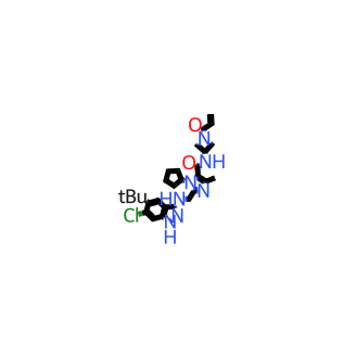 C=CC(=O)N1CC(NC(=O)c2c(C)nc(CNc3n[nH]c4cc(Cl)c(C(C)(C)C)cc34)n2C2CCCC2)C1